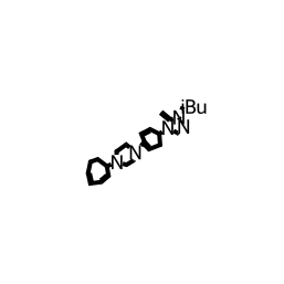 C=C1N(C2C=CC(N3CCN(C4C=CC=CCC4)CC3)=CC2)C=NN1C(C)CC